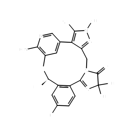 C[C@H]1Oc2cc(cnc2N)-c2c(nn(C)c2C#N)CN2C(=O)C(C)(C)N=C2c2ccc(F)cc21